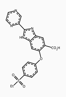 CCS(=O)(=O)c1ccc(Oc2cc3[nH]c(-c4cnccn4)nc3cc2C(=O)O)cc1